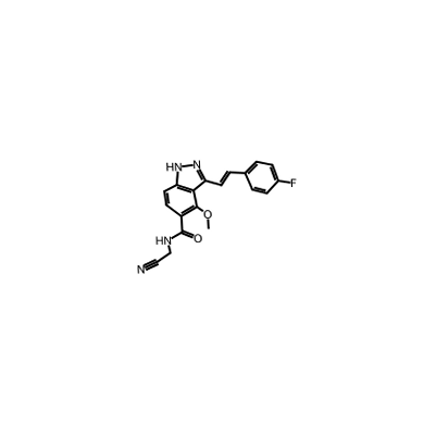 COc1c(C(=O)NCC#N)ccc2[nH]nc(C=Cc3ccc(F)cc3)c12